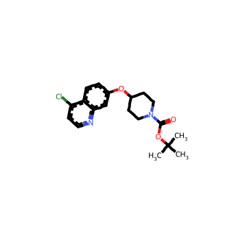 CC(C)(C)OC(=O)N1CCC(Oc2ccc3c(Cl)ccnc3c2)CC1